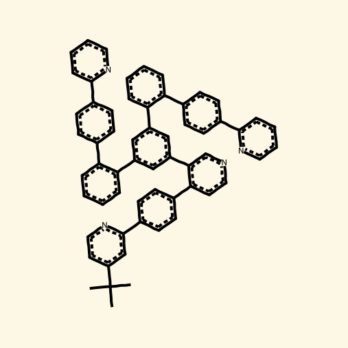 CC(C)(C)c1ccnc(-c2ccc(-c3ccncc3-c3cc(-c4ccccc4-c4ccc(-c5ccccn5)cc4)cc(-c4ccccc4-c4ccc(-c5ccccn5)cc4)c3)cc2)c1